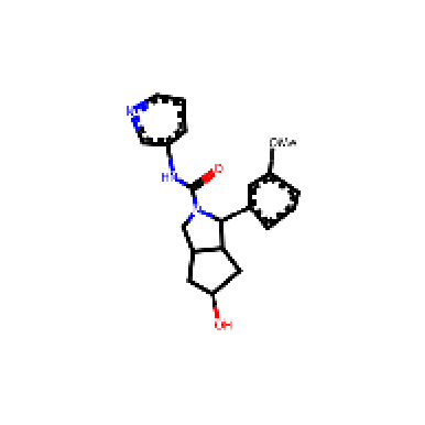 COc1cccc(C2C3CC(O)CC3CN2C(=O)Nc2cccnc2)c1